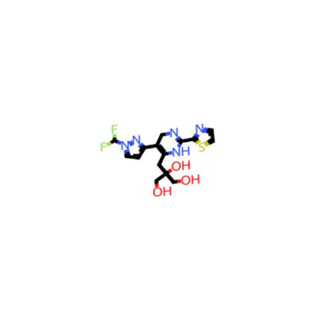 OCC(O)(CO)CC1=C(c2ccn(C(F)F)n2)CN=C(c2nccs2)N1